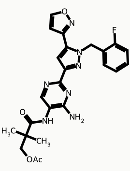 CC(=O)OCC(C)(C)C(=O)Nc1cnc(-c2cc(-c3ccon3)n(Cc3ccccc3F)n2)nc1N